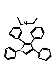 C[CH2][Al+][CH2]C.c1ccc(-c2c[c-](-c3ccccc3)c(-c3ccccc3)c2-c2ccccc2)cc1